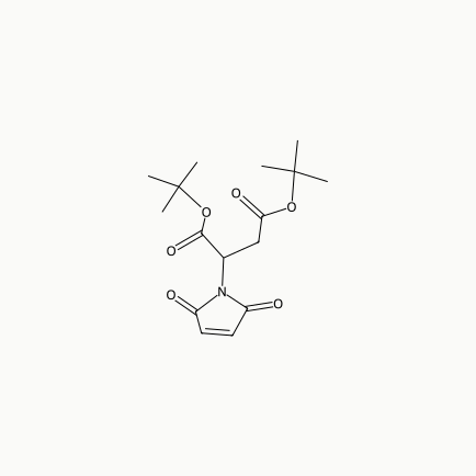 CC(C)(C)OC(=O)CC(C(=O)OC(C)(C)C)N1C(=O)C=CC1=O